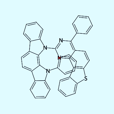 c1ccc(-c2nc(-n3c4ccccc4c4ccc5c6ccccc6n(-c6ccccc6)c5c43)nc3c2ccc2sc4ccccc4c23)cc1